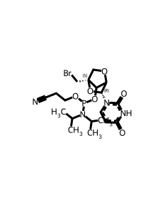 CC(C)N(C(C)C)P(OCCC#N)OC1C2OC[C@]1(CBr)O[C@H]2n1ccc(=O)[nH]c1=O